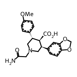 COc1ccc([C@H]2CN(CC(N)=O)C[C@H](c3ccc4c(c3)OCO4)[C@@H]2C(=O)O)cc1